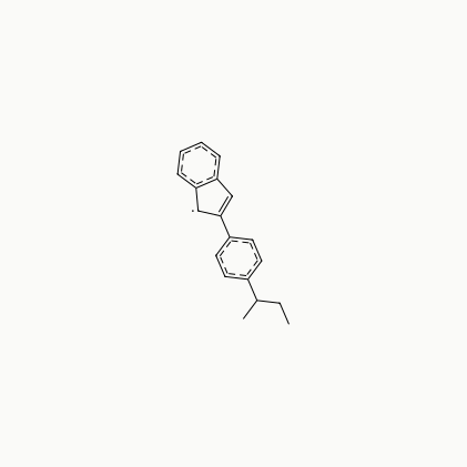 CCC(C)c1ccc(C2=Cc3ccccc3[CH]2)cc1